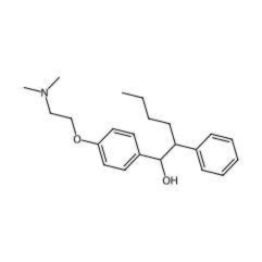 CCCCC(c1ccccc1)C(O)c1ccc(OCCN(C)C)cc1